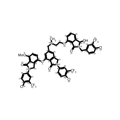 COc1ccc(Oc2cc(CN(C)CCOc3cccc4c3C(=O)N(Cc3ccc(Cl)c(C(F)(F)F)c3)C4O)cc3c2C(=O)N(c2ccc(Cl)c(C(F)(F)F)c2)C3)c2c1C(=O)N(c1ccc(Cl)c(C(F)(F)F)c1)C2